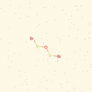 BrSOSBr